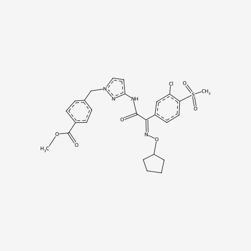 COC(=O)c1ccc(Cn2ccc(NC(=O)/C(=N/OC3CCCC3)c3ccc(S(C)(=O)=O)c(Cl)c3)n2)cc1